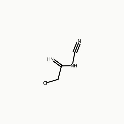 N#CNC(=N)CCl